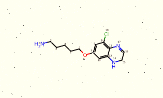 NCCCCCOc1cc(Cl)c2c(c1)NCC=N2